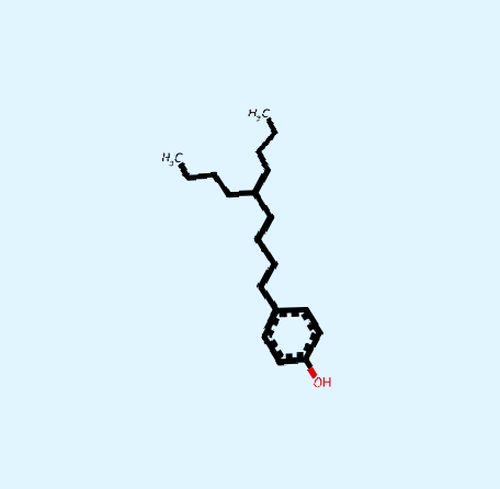 CCCCC(CCCC)CCCCc1ccc(O)cc1